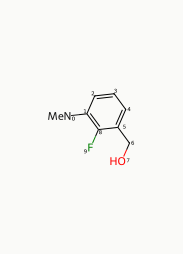 CNc1cccc(CO)c1F